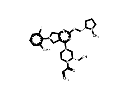 C=CC(=O)N1CCN(c2nc(OC[C@@H]3CCCN3C)nc3c2CN(c2c(F)cccc2OC)C3)C[C@@H]1CC#N